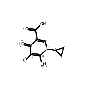 C=C1C(C(=O)O)=CN(C2CC2)C(C)=C1Br